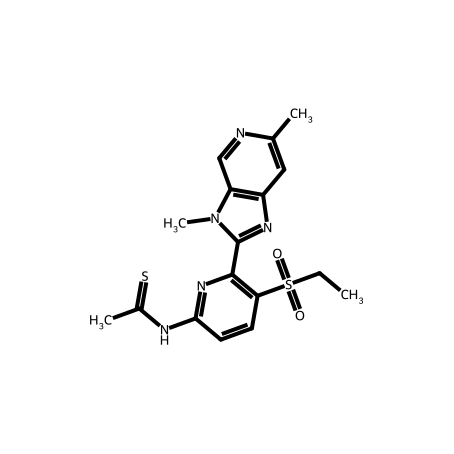 CCS(=O)(=O)c1ccc(NC(C)=S)nc1-c1nc2cc(C)ncc2n1C